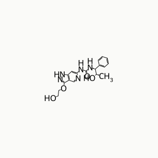 C[C@@H](O)[C@@H](NC(=O)Nc1cc2[nH]nc(OCCO)c2cn1)c1ccccc1